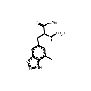 COC(=O)C(Cc1cc(C)c2[nH]nnc2c1)NC(=O)O